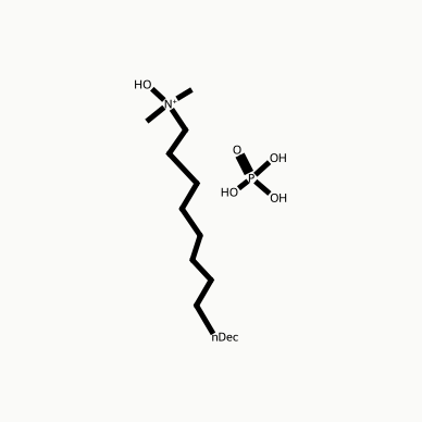 CCCCCCCCCCCCCCCCCC[N+](C)(C)O.O=P(O)(O)O